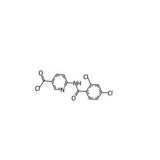 O=C(Cl)c1ccc(NC(=O)c2ccc(Cl)cc2Cl)nc1